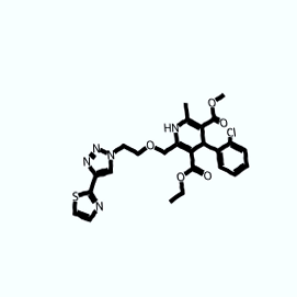 CCOC(=O)C1=C(COCCn2cc(-c3nccs3)nn2)NC(C)=C(C(=O)OC)C1c1ccccc1Cl